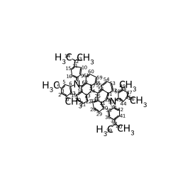 Cc1cc(C)cc(N(c2ccc(C(C)C)cc2)c2c3ccccc3c(-c3c4ccccc4c(N(c4ccc(C(C)C)cc4)c4cc(C)cc(C)c4)c4ccccc34)c3ccccc23)c1